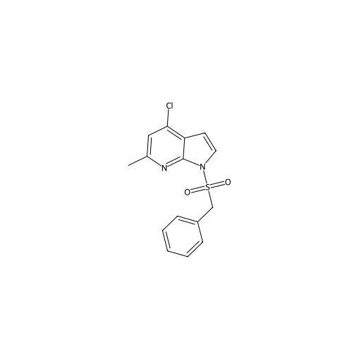 Cc1cc(Cl)c2ccn(S(=O)(=O)Cc3ccccc3)c2n1